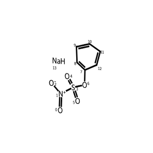 O=[N+]([O-])S(=O)(=O)Oc1ccccc1.[NaH]